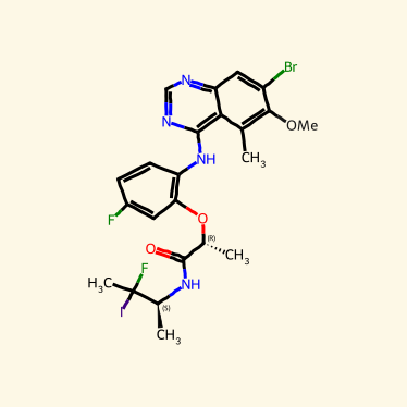 COc1c(Br)cc2ncnc(Nc3ccc(F)cc3O[C@H](C)C(=O)N[C@@H](C)C(C)(F)I)c2c1C